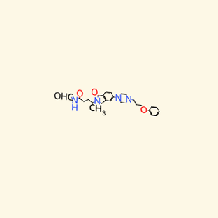 CC(CCC(=O)NC=O)N1Cc2cc(N3CCN(CCCOc4ccccc4)CC3)ccc2C1=O